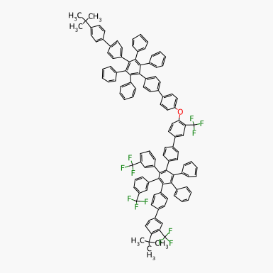 CC(C)(C)c1ccc(-c2ccc(-c3c(-c4ccccc4)c(-c4ccccc4)c(-c4ccc(-c5ccc(Oc6ccc(-c7ccc(-c8c(-c9ccccc9)c(-c9ccccc9)c(-c9ccc(-c%10ccc(C(C)(C)C)c(C(F)(F)F)c%10)cc9)c(-c9cccc(C(F)(F)F)c9)c8-c8cccc(C(F)(F)F)c8)cc7)cc6C(F)(F)F)cc5)cc4)c(-c4ccccc4)c3-c3ccccc3)cc2)cc1